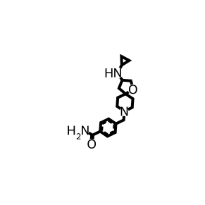 NC(=O)c1ccc(CN2CCC3(CC2)CC(NC2CC2)CO3)cc1